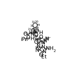 CCOc1nc(N)nc2c1ncn2[C@@H]1O[C@H](CO[P@](=O)(N[C@H](C)C(=O)OC(C)C)Oc2ccccc2)[C@@H](O)[C@H]1N=[N+]=[N-]